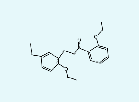 CCOc1ccc(CC)cc1CCC(=O)c1ccccc1OCC